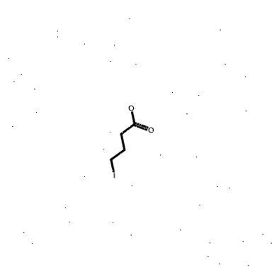 [O]C(=O)CCCI